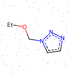 CCOCn1[c]cnn1